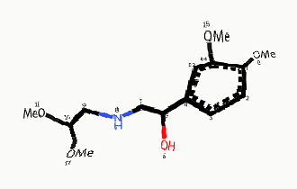 COc1ccc(C(O)CNCC(OC)OC)cc1OC